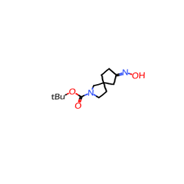 CC(C)(C)OC(=O)N1CCC2(CC/C(=N/O)C2)C1